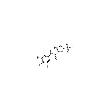 Cc1[nH]c(C(=O)Nc2cc(F)c(F)c(F)c2)cc1S(=O)(=O)Cl